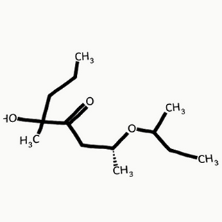 CCCC(C)(O)C(=O)C[C@@H](C)OC(C)CC